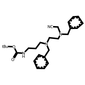 CC(C)(C)OC(=O)NCCCN(CCN(CC#N)Cc1ccccc1)Cc1ccccc1